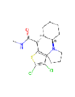 CNC(=O)C(c1cc(Cl)c(Cl)s1)[C@@H]1CCCC[C@H]1N1CCCC1